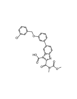 COC(=O)N(C)C(=O)c1nc2ccc(-c3cccc(OCc4cccc(Cl)c4)c3)cc2n1C(=O)O